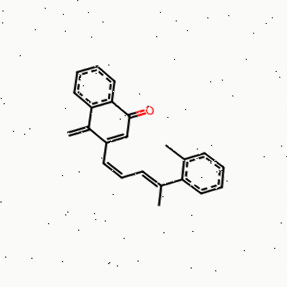 C=C1C(/C=C\C=C(/C)c2ccccc2C)=CC(=O)c2ccccc21